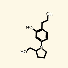 OCCc1ccc(N2CCCC2CO)cc1O